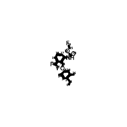 CCc1cc(C)c(OCc2c(NC(=O)OCF)cccc2C(F)F)cc1C